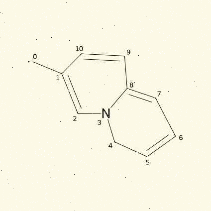 [CH2]C1=CN2CC=CC=C2C=C1